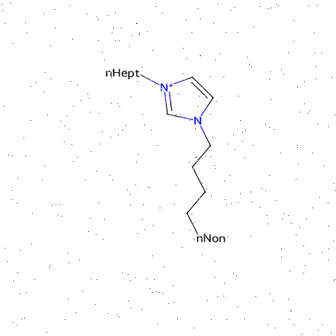 CCCCCCCCCCCCCn1cc[n+](CCCCCCC)c1